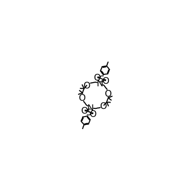 Cc1ccc(S(=O)(=O)N2CCOC(C)(C)C(C)(C)OCCN(S(=O)(=O)c3ccc(C)cc3)CCOC(C)(C)C(C)(C)OCC2)cc1